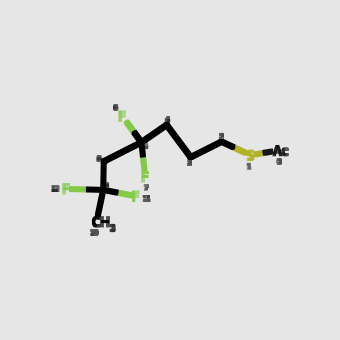 CC(=O)SCCCC(F)(F)CC(C)(F)F